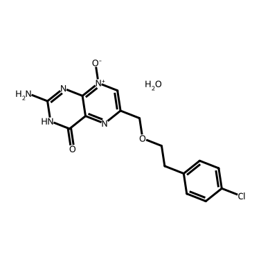 Nc1nc2c(nc(COCCc3ccc(Cl)cc3)c[n+]2[O-])c(=O)[nH]1.O